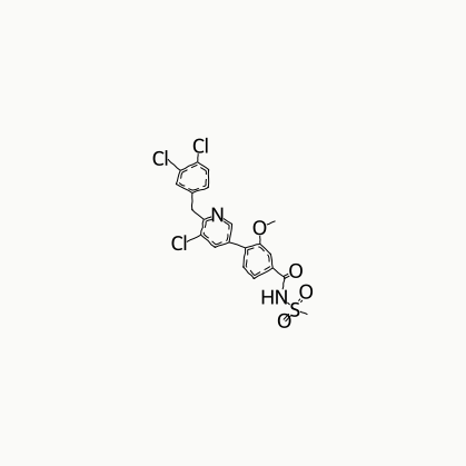 COc1cc(C(=O)NS(C)(=O)=O)ccc1-c1cnc(Cc2ccc(Cl)c(Cl)c2)c(Cl)c1